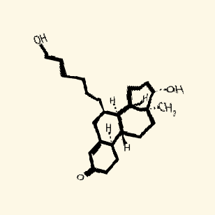 C[C@]12CC[C@H]3[C@@H]([C@H](CCCCCCO)CC4=CC(=O)CC[C@@H]43)[C@@H]1CC[C@@H]2O